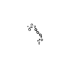 COC(=O)N[C@@H](C(=O)N1CCC[C@H]1c1ncc(-c2ccc3c(c2)sc2cc(-c4ccc5nc([C@@H]6CCCN6C(=O)[C@@H](NC(=O)OC)C(C)C)[nH]c5c4)ccc23)[nH]1)C1=CCCC=C1